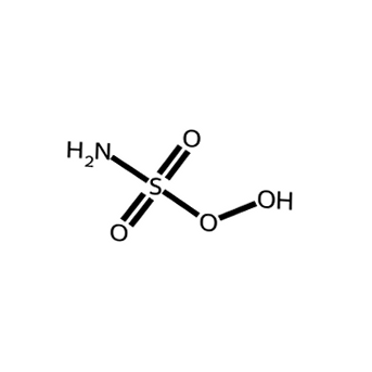 NS(=O)(=O)OO